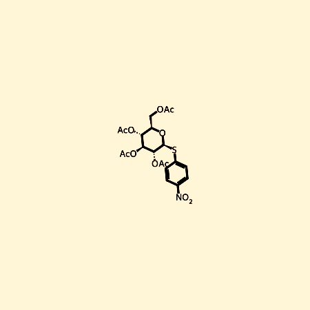 CC(=O)OC[C@H]1O[C@@H](Sc2ccc([N+](=O)[O-])cc2)[C@H](OC(C)=O)[C@@H](OC(C)=O)[C@@H]1OC(C)=O